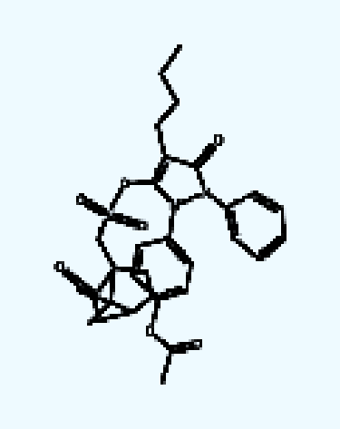 CCCCc1c(OS(=O)(=O)CC23CCC(CC2=O)C3(C)C)n(-c2ccc(OC(C)=O)cc2)n(-c2ccccc2)c1=O